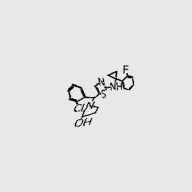 O[C@@H]1CCN(C(c2cnc(NC3(c4ccccc4F)CC3)s2)c2ccccc2Cl)C1